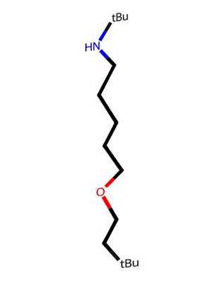 CC(C)(C)CCOCCCCCNC(C)(C)C